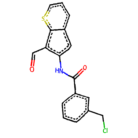 O=Cc1c(NC(=O)c2cccc(CCl)c2)cc2cccsc1-2